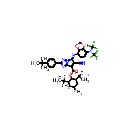 CC1CC(C(C)(C)C)C(OC(=O)C2=C(C#N)/C(=N\c3ccc(N(C(F)(F)F)C(F)(F)F)c4c3OCO4)n3nc(-c4ccc(C(C)(C)C)cc4)nc32)C(C(C)(C)C)C1